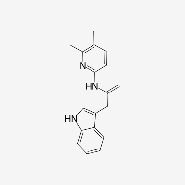 C=C(Cc1c[nH]c2ccccc12)Nc1ccc(C)c(C)n1